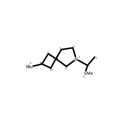 CSC(C)N1CCC2(CC(C(C)(C)C)C2)C1